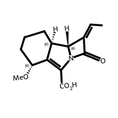 CC=C1C(=O)N2C(C(=O)O)=C3[C@@H](CCC[C@H]3OC)[C@H]12